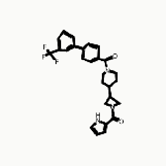 O=C(c1ccc(-c2cccc(C(F)(F)F)c2)cc1)N1CCC(C2CN(C(=O)c3ccc[nH]3)C2)CC1